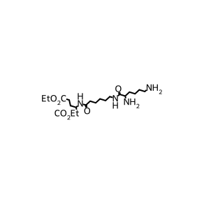 CCOC(=O)CCC(NC(=O)CCCCCNC(=O)C(N)CCCCN)C(=O)OCC